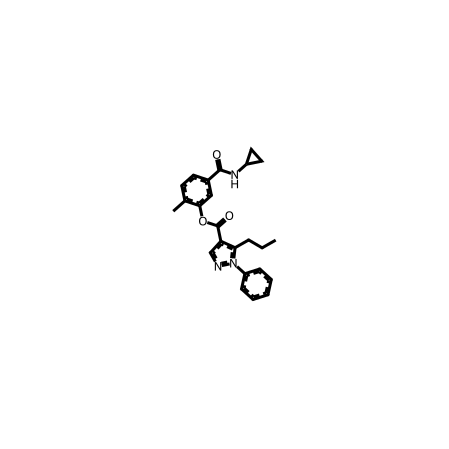 CCCc1c(C(=O)Oc2cc(C(=O)NC3CC3)ccc2C)cnn1-c1ccccc1